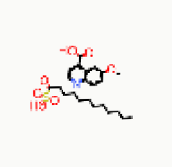 CCCCCCCCCCCC(=O)S(=O)(=O)O.COc1ccc2nccc(C(=O)O)c2c1